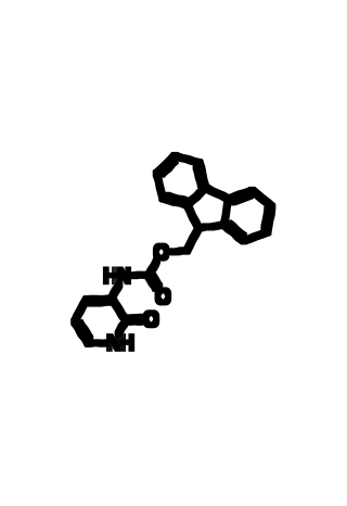 O=C(Nc1ccc[nH]c1=O)OCC1c2ccccc2-c2ccccc21